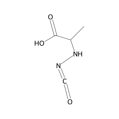 CC(NN=C=O)C(=O)O